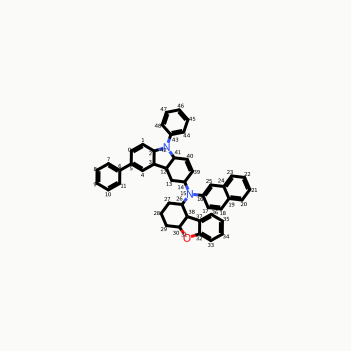 C1=CC2C(C=C1c1ccccc1)C1CC(N(c3ccc4ccccc4c3)C3CCCC4Oc5ccccc5C43)C=CC1N2c1ccccc1